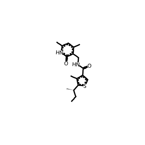 CC[C@H](C)c1scc(C(=O)NCc2c(C)cc(C)[nH]c2=O)c1C